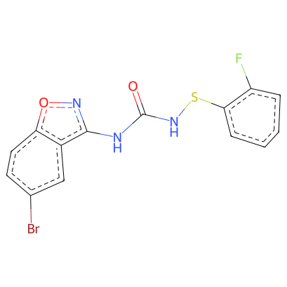 O=C(NSc1ccccc1F)Nc1noc2ccc(Br)cc12